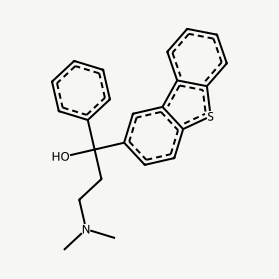 CN(C)CCC(O)(c1ccccc1)c1ccc2sc3ccccc3c2c1